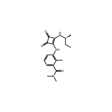 CC[C@H](C)Nc1c(Nc2cccc(C(=O)N(C)C)c2C)c(=O)c1=O